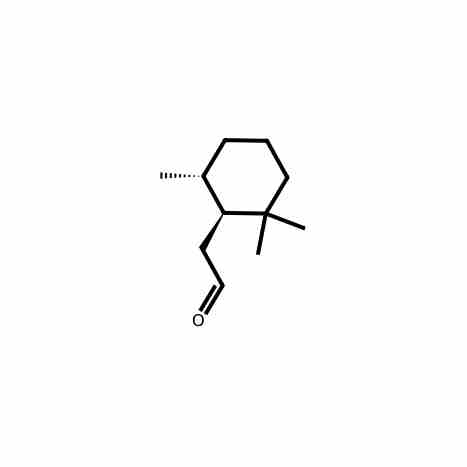 C[C@@H]1CCCC(C)(C)[C@H]1CC=O